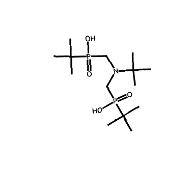 CC(C)(C)N(CP(=O)(O)C(C)(C)C)CP(=O)(O)C(C)(C)C